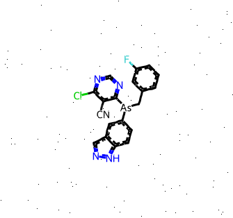 N#Cc1c(Cl)ncnc1[As](Cc1cccc(F)c1)c1ccc2[nH]ncc2c1